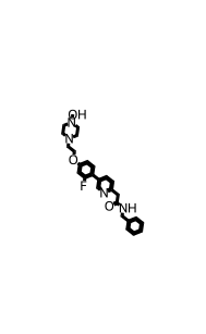 O=C(Cc1ccc(-c2ccc(OCCN3CCN(O)CC3)cc2F)cn1)NCc1ccccc1